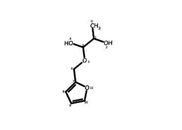 CC(O)C(O)OCc1ccco1